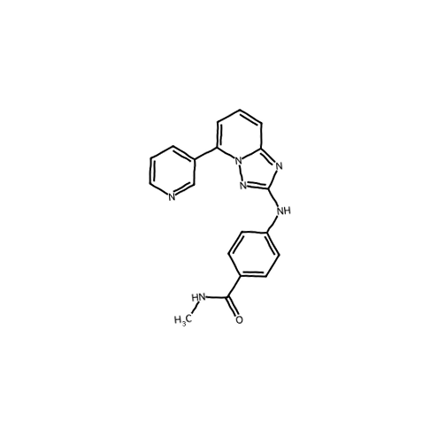 CNC(=O)c1ccc(Nc2nc3cccc(-c4cccnc4)n3n2)cc1